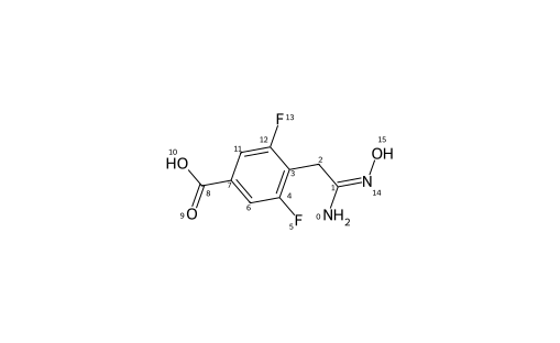 N/C(Cc1c(F)cc(C(=O)O)cc1F)=N/O